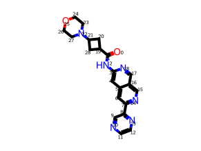 O=C(Nc1cc2cc(-c3cnccn3)ncc2cn1)C1CC(N2CCOCC2)C1